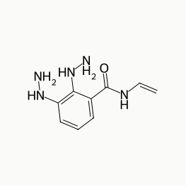 C=CNC(=O)c1cccc(NN)c1NN